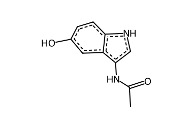 CC(=O)Nc1c[nH]c2ccc(O)cc12